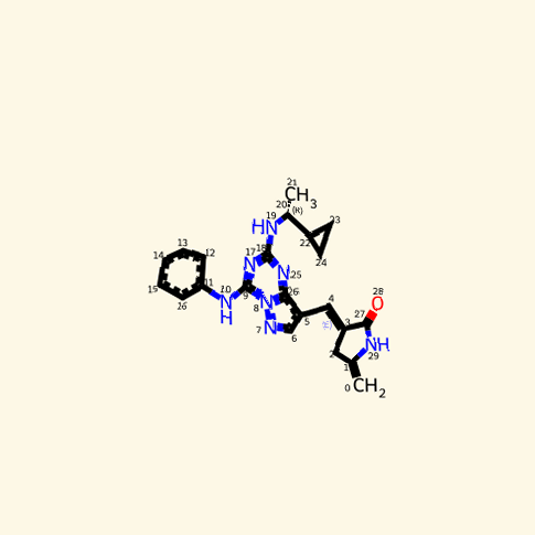 C=C1C/C(=C\c2cnn3c(Nc4ccccc4)nc(N[C@H](C)C4CC4)nc23)C(=O)N1